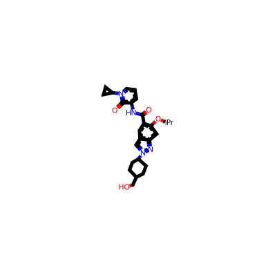 CC(C)Oc1cc2nn(C3CCC(CO)CC3)cc2cc1C(=O)Nc1cccn(C2CC2)c1=O